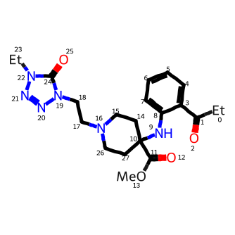 CCC(=O)c1ccccc1NC1(C(=O)OC)CCN(CCn2nnn(CC)c2=O)CC1